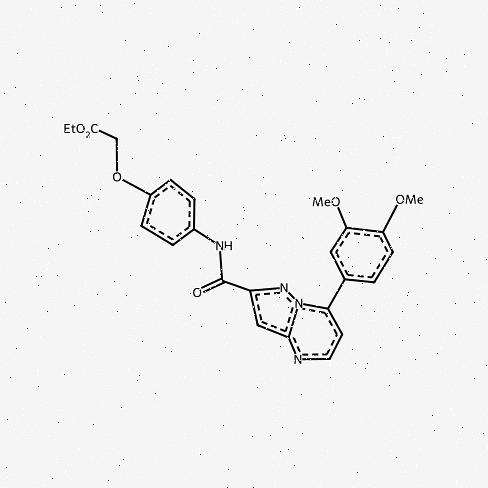 CCOC(=O)COc1ccc(NC(=O)c2cc3nccc(-c4ccc(OC)c(OC)c4)n3n2)cc1